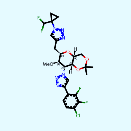 CO[C@@H]1[C@@H](n2cc(-c3ccc(Cl)c(F)c3F)nn2)[C@H]2OC(C)(C)OC[C@H]2O[C@@H]1Cc1cn(C2(C(F)F)CC2)nn1